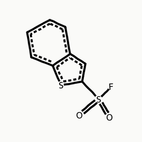 O=S(=O)(F)c1cc2ccccc2s1